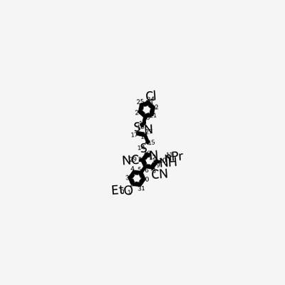 [CH2]COc1ccc(-c2c(C#N)c(NCCC)nc(SCc3csc(-c4ccc(Cl)cc4)n3)c2C#N)cc1